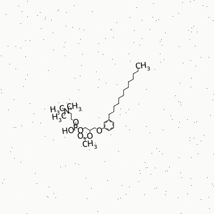 CCCCCCCCCCCCCc1cccc(OCC(COP(O)OCC[N+](C)(C)C)OC(C)=O)c1